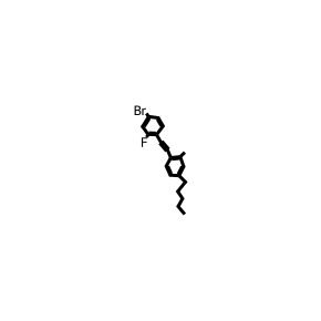 CCCCCc1ccc(C#Cc2ccc(Br)cc2F)c(C)c1